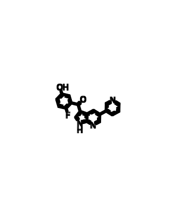 O=C(c1cc(O)ccc1F)c1c[nH]c2ncc(-c3cccnc3)cc12